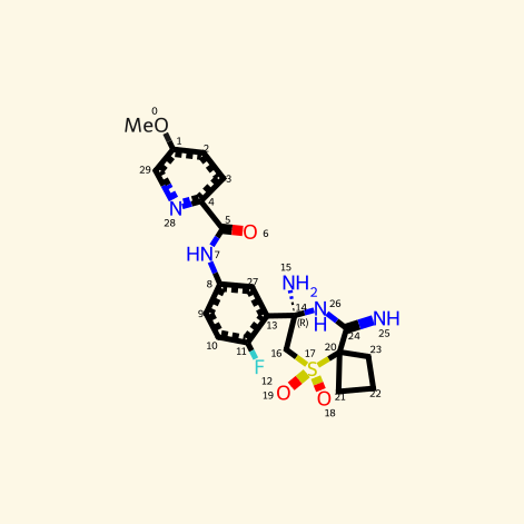 COc1ccc(C(=O)Nc2ccc(F)c([C@]3(N)CS(=O)(=O)C4(CCC4)C(=N)N3)c2)nc1